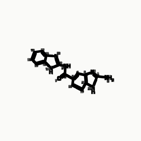 Nc1nc2cc(C(=O)Nc3nc4ccccc4[nH]3)ccc2[nH]1